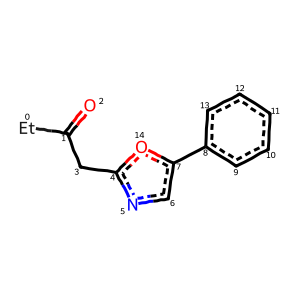 CCC(=O)Cc1ncc(-c2ccccc2)o1